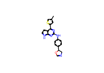 Cc1csc(-c2nc(Nc3ccc(C4CN=CO4)cc3)nc3[nH]ccc23)c1